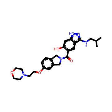 CC(C)CNc1n[nH]c2cc(O)c(C(=O)N3Cc4ccc(OCCN5CCOCC5)cc4C3)cc12